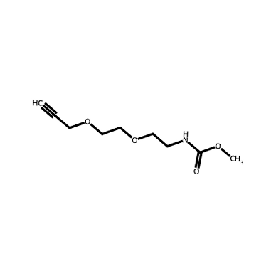 C#CCOCCOCCNC(=O)OC